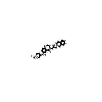 C/C=C\C(=C/C)Nc1ccc2c(c1)C(=O)N(C[C@@H](O)CN1CCc3ccccc3C1)CCO2